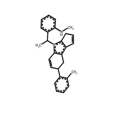 CNc1ccccc1C(C)n1c2c(c3c1CC=C3)CC(c1ccccc1C)C=C2